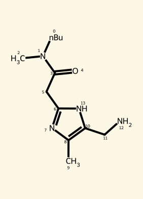 CCCCN(C)C(=O)Cc1nc(C)c(CN)[nH]1